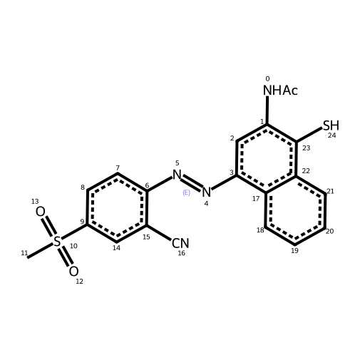 CC(=O)Nc1cc(/N=N/c2ccc(S(C)(=O)=O)cc2C#N)c2ccccc2c1S